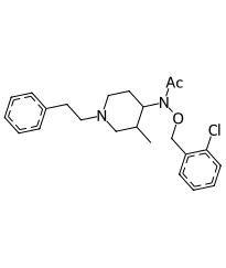 CC(=O)N(OCc1ccccc1Cl)C1CCN(CCc2ccccc2)CC1C